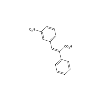 O=C(O)/C(=C\c1cccc([N+](=O)[O-])c1)c1ccccc1